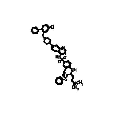 CN(C)CCC(CSc1ccccc1)Nc1ccc(S(=O)(=O)Nc2ncnc3cc(N4CCN(Cc5cc(Cl)ccc5-c5ccccc5)CC4)ccc23)cc1C#N